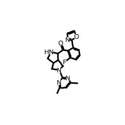 Cc1cc(C)nc(N2CC3CNC(C(=O)c4c(F)cccc4-c4ncco4)C3C2)n1